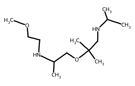 COCCNC(C)COC(C)(C)CNC(C)C